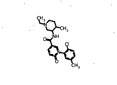 CCN1CCC(C)C(NC(=O)c2ccc(=O)n(-c3cc(C)ccc3Cl)c2)C1